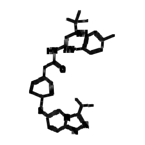 Cc1ccc(N/C(=C\C(=N)C(C)(C)C)NC(=O)CC2=CCC(Sc3ccc4nnc(C(C)C)n4c3)C=C2)cc1